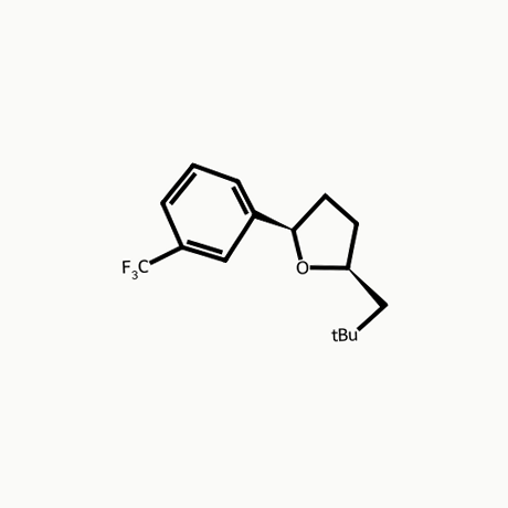 CC(C)(C)C[C@@H]1CC[C@H](c2cccc(C(F)(F)F)c2)O1